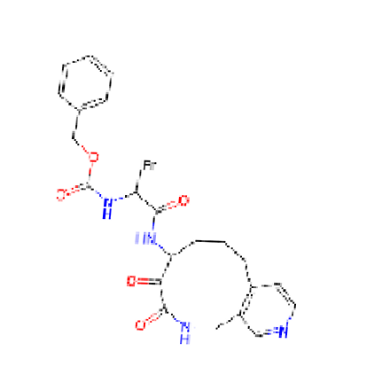 CC(C)C(NC(=O)OCc1ccccc1)C(=O)NC1CCCc2ccncc2CNC(=O)C1=O